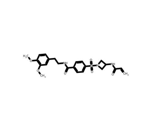 C=CC(=O)NC1CN(S(=O)(=O)c2ccc(C(=O)NCCc3ccc(OC)c(OC)c3)cc2)C1